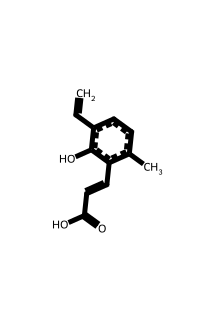 C=Cc1ccc(C)c(C=CC(=O)O)c1O